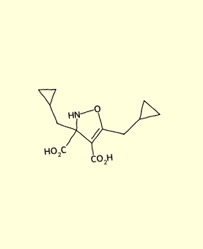 O=C(O)C1=C(CC2CC2)ONC1(CC1CC1)C(=O)O